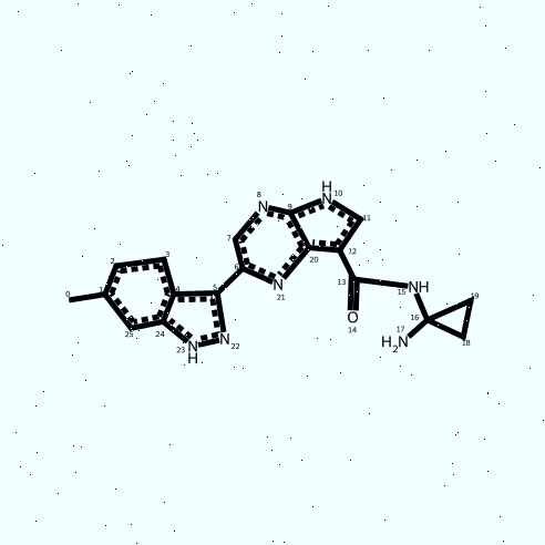 Cc1ccc2c(-c3cnc4[nH]cc(C(=O)NC5(N)CC5)c4n3)n[nH]c2c1